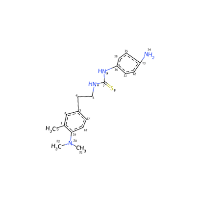 Cc1cc(CCNC(=S)Nc2ccc(N)cc2)ccc1N(C)C